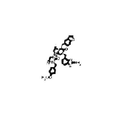 COc1ccc(CNC(=O)N(CC#N)N2CC(=O)N3[C@@H](Cc4ccc5occc5c4)C(=O)N(Cc4cccc5sc(N)nc45)C[C@@H]32)cc1